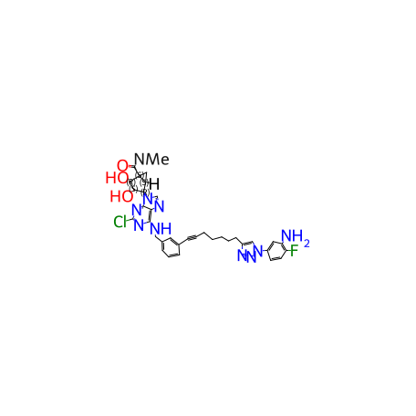 CNC(=O)[C@@]12C[C@@H]1[C@@H](n1cnc3c(NCc4cccc(C#CCCCCCc5cn(-c6ccc(F)c(N)c6)nn5)c4)nc(Cl)nc31)[C@H](O)[C@@H]2O